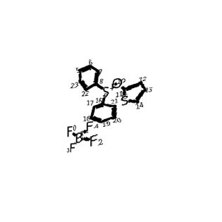 F[B-](F)(F)F.c1ccc([S+](Oc2cccs2)c2ccccc2)cc1